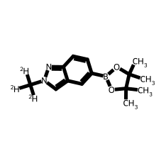 [2H]C([2H])([2H])n1cc2cc(B3OC(C)(C)C(C)(C)O3)ccc2n1